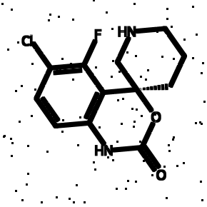 O=C1Nc2ccc(Cl)c(F)c2[C@]2(CCCNC2)O1